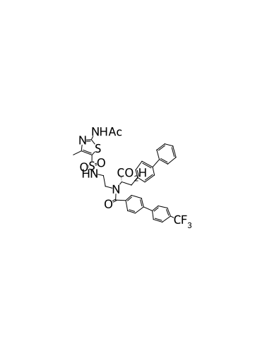 CC(=O)Nc1nc(C)c(S(=O)(=O)NCCN(C(=O)c2ccc(-c3ccc(C(F)(F)F)cc3)cc2)[C@@H](Cc2ccc(-c3ccccc3)cc2)C(=O)O)s1